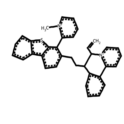 C=CC1C(CCc2ccc3c(sc4ccccc43)c2-c2cccc[n+]2C)c2ccccc2-c2cccc[n+]21